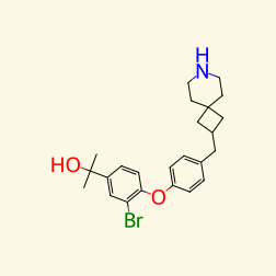 CC(C)(O)c1ccc(Oc2ccc(CC3CC4(CCNCC4)C3)cc2)c(Br)c1